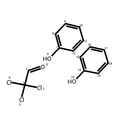 O=CC(Cl)(Cl)Cl.Oc1ccccc1.Oc1ccccc1